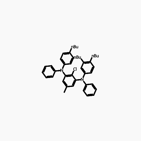 CCCCc1ccc(N(c2ccccc2)c2cc(C)cc(N(c3ccccc3)c3ccc(CCCC)c(CCCC)c3)c2Cl)cc1